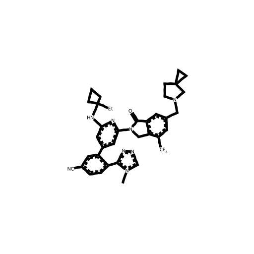 CCC1(Nc2cc(-c3cc(C#N)ccc3-c3nncn3C)cc(N3Cc4c(cc(CN5CCC6(CC6)C5)cc4C(F)(F)F)C3=O)n2)CCC1